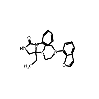 CCC1(N2CCN(c3cccc4ccoc34)CC2)CNC(=O)N1c1ccccc1